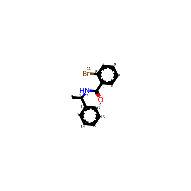 CC(NC(=O)c1ccccc1Br)c1ccccc1